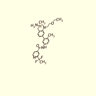 CCOCCN1C[C@](C)(N)Cc2ccc(-c3cc(NC(=O)c4ccnc(C(C)(F)F)c4)ccc3C)cc21